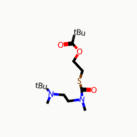 CN(CCN(C)C(C)(C)C)C(=O)SCCOC(=O)C(C)(C)C